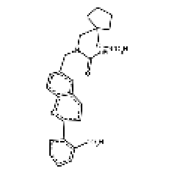 CCCC(=O)N(Cc1ccc2nc(-c3ccccc3C(=O)O)ccc2c1)CC1(OC(=O)O)CCCC1